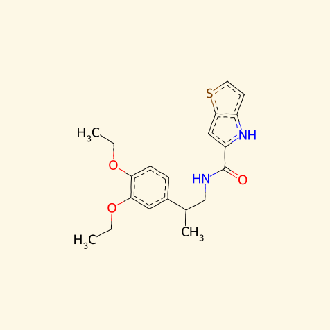 CCOc1ccc(C(C)CNC(=O)c2cc3sccc3[nH]2)cc1OCC